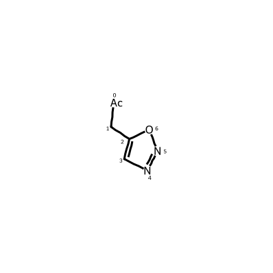 CC(=O)Cc1cnno1